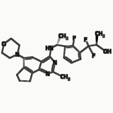 Cc1nc(N[C@H](C)c2cccc(C(F)(F)[C@@H](C)O)c2F)c2cc(N3CCOCC3)c3c(c2n1)CCC3